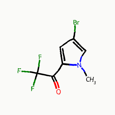 Cn1cc(Br)cc1C(=O)C(F)(F)F